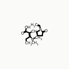 C=CN1CCCC1=O.CC/C(=C(/C)C(=O)O)N(C)C